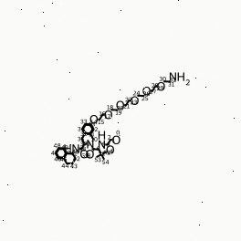 COCC(=O)NC(C(=O)N1Cc2cc(OCCOCCOCCOCCOCCOCCN)ccc2CC1C(=O)N[C@@H]1CCCc2ccccc21)C(C)(C)C